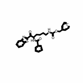 O=C(NCCCCC(NC(=O)c1ccccc1)C(=O)c1nc2ccccc2s1)OCc1ccccc1